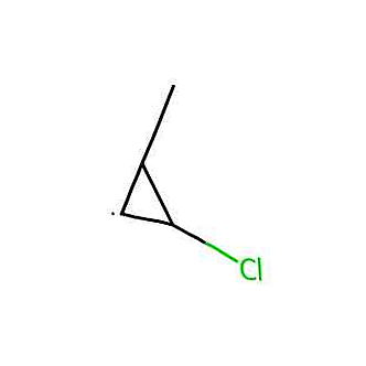 CC1[CH]C1Cl